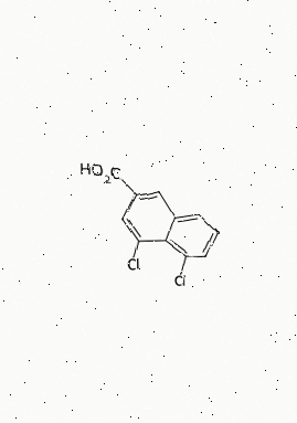 O=C(O)c1cc(Cl)c2c(Cl)cccc2c1